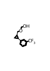 OCOC[C@@H]1C[C@@H]1c1cccc(C(F)(F)F)c1